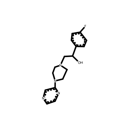 OC(CN1CCN(c2cnccn2)CC1)c1ccc(F)cc1